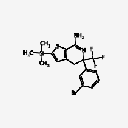 C[Si](C)(C)c1cc2c(s1)C(N)=NC(c1cccc(Br)c1)(C(F)(F)F)C2